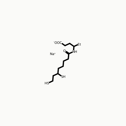 CCC(CCC(=O)[O-])NC(=O)CCCCC(S)CCS.[Na+]